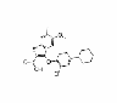 COc1cc2c(Oc3ccc(C4CCCCC4)cc3Cl)c(C(=O)O)sc2cc1C